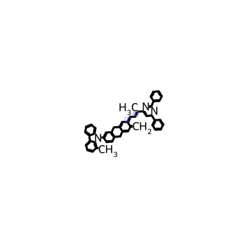 C=c1cc2c(c/c1=C/C=C(\C)c1cc(-c3ccccc3)nc(-c3ccccc3)n1)Cc1cc(-n3c4ccccc4c4cccc(C)c43)ccc1C2